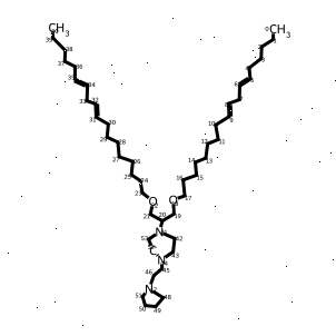 CCCCCC=CCC=CCCCCCCCCOCC(COCCCCCCCCC=CCC=CCCCCC)N1CCN(CCN2CCCC2)CC1